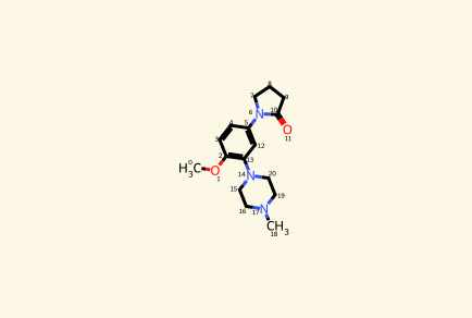 COc1ccc(N2CCCC2=O)cc1N1CCN(C)CC1